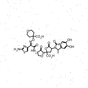 CC1c2cc(O)c(O)c[n+]2C(=O)N1C1CC(C(=O)O)(N2OC[C@H](NC(=O)/C(=N\OC3(C(=O)O)CCOCC3)c3csc(N)n3)C2=O)OC1=O